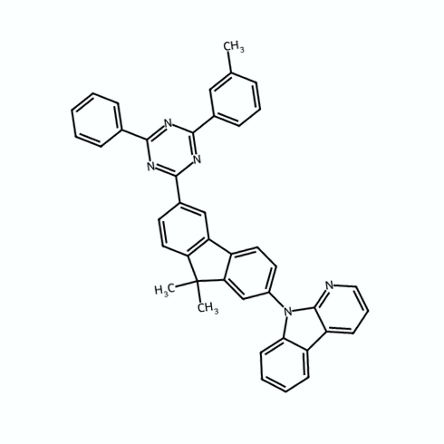 Cc1cccc(-c2nc(-c3ccccc3)nc(-c3ccc4c(c3)-c3ccc(-n5c6ccccc6c6cccnc65)cc3C4(C)C)n2)c1